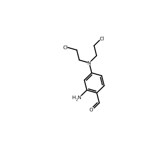 Nc1cc(N(CCCl)CCCl)ccc1C=O